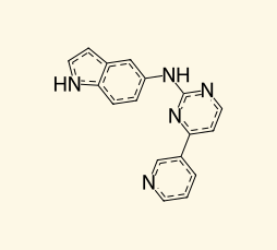 c1cncc(-c2ccnc(Nc3ccc4[nH]ccc4c3)n2)c1